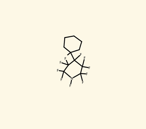 CC1(C2(F)C(F)(F)C(F)(F)N(F)C(F)(F)C2(F)F)CCCCC1